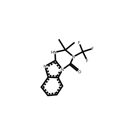 CC1(C)Nc2nc3ccccc3n2C(=O)N1C(F)(F)F